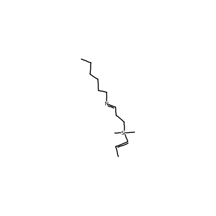 CC=C[Si](C)(C)CCC=NCCCCCC